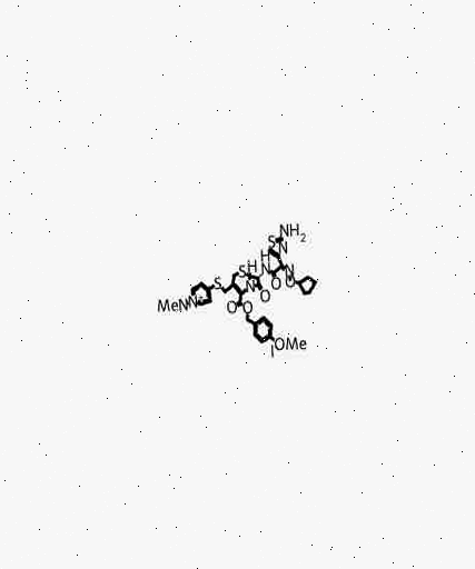 CN[n+]1ccc(SCC2=C(C(=O)OCc3ccc(OC)cc3)N3C(=O)[C@@H](NC(=O)/C(=N\OC4CCCC4)c4csc(N)n4)[C@H]3SC2)cc1.[I-]